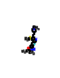 C=C(Nc1ccc(Cc2ccnc3cc(CCC4CCN(C)CC4)c(SC)cc23)c(F)c1)C(C)=O